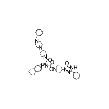 O=C(N[C@H](Cc1ccc2c(c1)CCCC2)C(=O)N1CCC(N2CCN(Cc3ccccc3)CC2)CC1)ON1CCC(n2nc(-c3ccccc3)[nH]c2=O)CC1